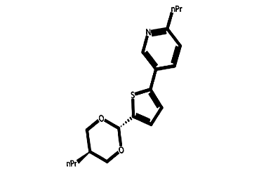 CCCc1ccc(-c2ccc([C@H]3OC[C@H](CCC)CO3)s2)cn1